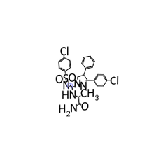 CC(N/C(=N/S(=O)(=O)c1ccc(Cl)cc1)N1CC(c2ccccc2)C(c2ccc(Cl)cc2)=N1)C(N)=O